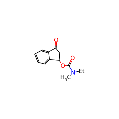 CCN(C)C(=O)OC1CC(=O)c2ccccc21